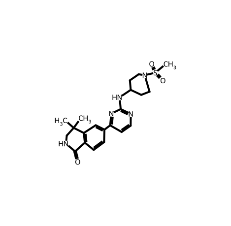 CC1(C)CNC(=O)c2ccc(-c3ccnc(NC4CCN(S(C)(=O)=O)CC4)n3)cc21